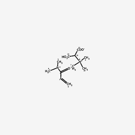 C=CC(=O)N(C)C.C[N+](C)(C)C(C(=O)[O-])C(=O)O